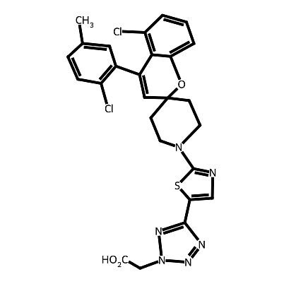 Cc1ccc(Cl)c(C2=CC3(CCN(c4ncc(-c5nnn(CC(=O)O)n5)s4)CC3)Oc3cccc(Cl)c32)c1